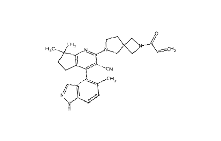 C=CC(=O)N1CC2(CCN(c3nc4c(c(-c5c(C)ccc6[nH]ncc56)c3C#N)CCC4(C)C)C2)C1